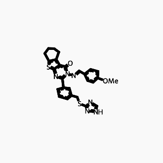 COc1ccc(C=Nn2c(-c3cccc(CSc4nc[nH]n4)c3)nc3sc4c(c3c2=O)CCCC4)cc1